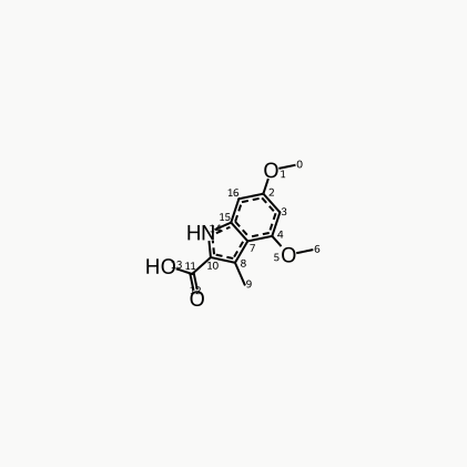 COc1cc(OC)c2c(C)c(C(=O)O)[nH]c2c1